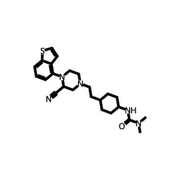 CN(C)C(=O)NC1CCC(CCN2CCN(c3cccc4sccc34)C(C#N)C2)CC1